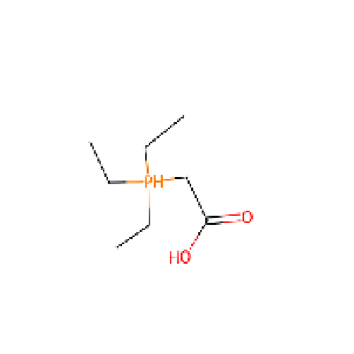 CC[PH](CC)(CC)CC(=O)O